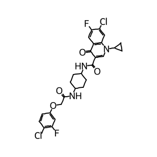 O=C(COc1ccc(Cl)c(F)c1)NC1CCC(NC(=O)c2cn(C3CC3)c3cc(Cl)c(F)cc3c2=O)CC1